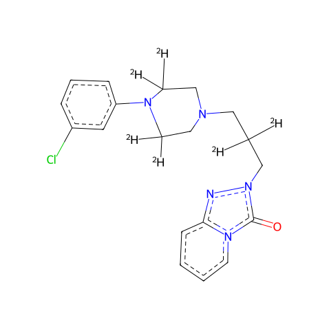 [2H]C([2H])(CN1CC([2H])([2H])N(c2cccc(Cl)c2)C([2H])([2H])C1)Cn1nc2ccccn2c1=O